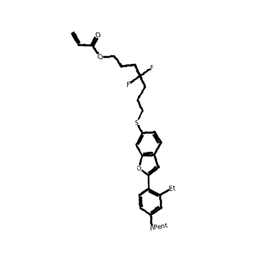 C=CC(=O)OCCCC(F)(F)CCCSc1ccc2cc(-c3ccc(CCCCC)cc3CC)oc2c1